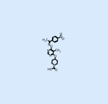 CC(=NOc1ncnc(OC2CCN(C(=O)O)CC2)c1C)c1ccc([N+](=O)[O-])cc1